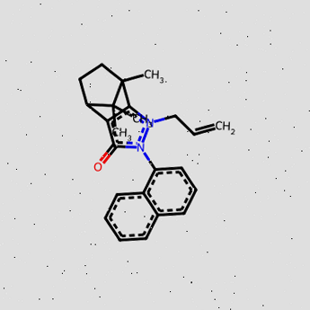 C=CCn1c2c(c(=O)n1-c1cccc3ccccc13)C1CCC2(C)C1(C)C